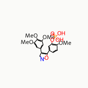 COc1ccc(-c2oncc2-c2cc(OC)c(OC)c(OC)c2)cc1OP(=O)(O)O